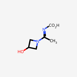 CC(=NC(=O)O)N1CC(O)C1